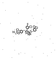 COc1ccc(Cc2sc3nnc(SCc4ccc5c(c4)OCO5)n3c2-c2ccc(F)c(Cl)c2)cc1Cl